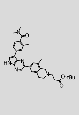 Cc1cc(-c2c[nH]c3ncc(-c4cc(C)c5c(c4)CCN(CCC(=O)OC(C)(C)C)C5)nc23)ccc1C(=O)N(C)C